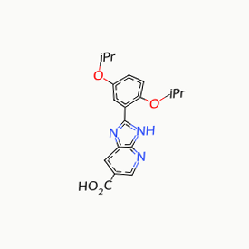 CC(C)Oc1ccc(OC(C)C)c(-c2nc3cc(C(=O)O)cnc3[nH]2)c1